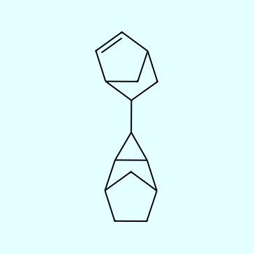 C1=CC2CC1CC2C1C2C3CCC(C3)C21